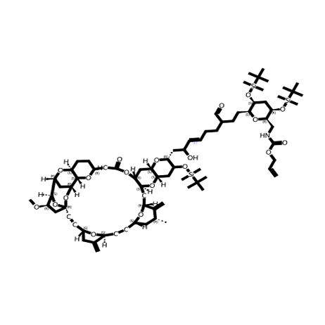 C=CCOC(=O)NC[C@H]1O[C@@H](CCC(C=O)CC/C=C/C(O)C[C@H]2O[C@H]3C[C@H]4OC(=O)C[C@H]5CC[C@@H]6O[C@@H]7C[C@@H](O[C@@]8(CC[C@H]9CC(=C)[C@H](CC[C@H]%10C[C@@H](C)C(=C)[C@@H](C[C@@H]4O[C@H]3CC2O[Si](C)(C)C(C)(C)C)O%10)O9)C[C@@H](OC)[C@@H]7O8)[C@H]6O5)[C@@H](O[Si](C)(C)C(C)(C)C)C[C@H]1O[Si](C)(C)C(C)(C)C